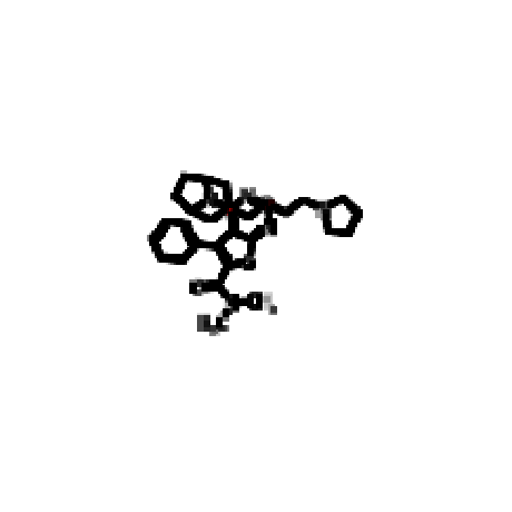 CN(C)C(=O)c1sc2ncnc(N3C4CCC3CC(COCCN3CCCC3)C4)c2c1-c1ccccc1